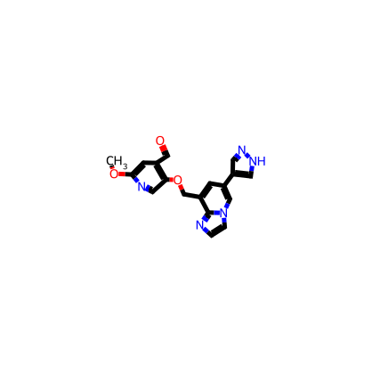 COc1cc(C=O)c(OCc2cc(-c3cn[nH]c3)cn3ccnc23)cn1